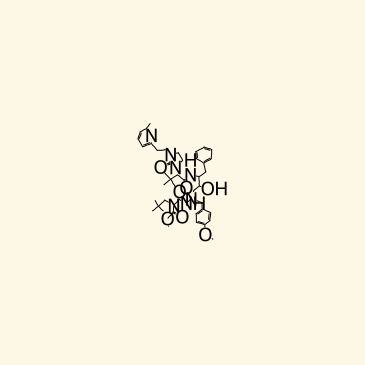 COC(=O)N(CC(C)(C)C)C(=O)NN(Cc1ccc(OC)cc1)CC(O)C(Cc1ccccc1)NC(=O)C(N1CCN(CCc2cccc(C)n2)C1=O)C(C)(C)C